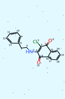 O=C1C(Cl)=C(NCCc2ccccc2)C(=O)c2ccccc21